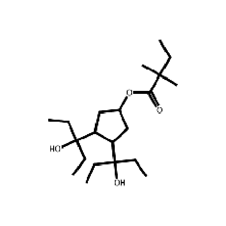 CCC(C)(C)C(=O)OC1CC(C(O)(CC)CC)C(C(O)(CC)CC)C1